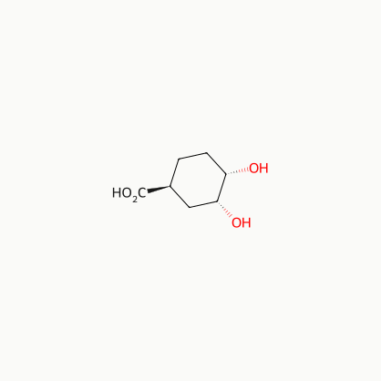 O=C(O)[C@H]1CC[C@H](O)[C@H](O)C1